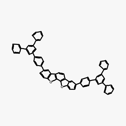 c1ccc(-c2cc(-c3ccccc3)cc(-c3ccc(-c4ccc5oc6c(ccc7c8cc(-c9ccc(-c%10cc(-c%11ccccc%11)cc(-c%11ccccc%11)c%10)cc9)ccc8oc76)c5c4)cc3)c2)cc1